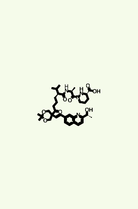 CC(C)[C@H](CCCC(=O)C1(/C=C/c2ccc3ccc([C@@H](C)O)nc3c2)COC(C)(C)OC1)C(=O)N[C@@H](C)C(=O)N1CCC[C@@H](C(=O)O)N1